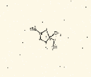 CC(C)(C)N1CC[C@@](C)(CO)C1